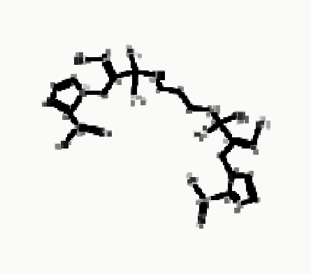 CC(C)(NCCCNC(C)(C)C(Cn1ccnc1[N+](=O)[O-])=NO)C(Cn1ccnc1[N+](=O)[O-])=NO